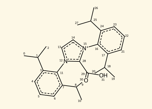 CC(C)c1cccc(C(C)C)c1-n1cc[n+](-c2c(C(C)C)cccc2C(C)C)c1C(=O)O